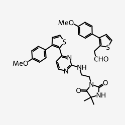 COc1ccc(-c2ccsc2-c2ccnc(NCCN3C(=O)NC(C)(C)C3=O)n2)cc1.COc1ccc(-c2ccsc2CC=O)cc1